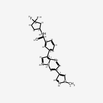 Cn1cc(-c2cnc3c(-c4cccc(C(=O)NC5CCC(F)(F)C5)c4)cnn3c2)cn1